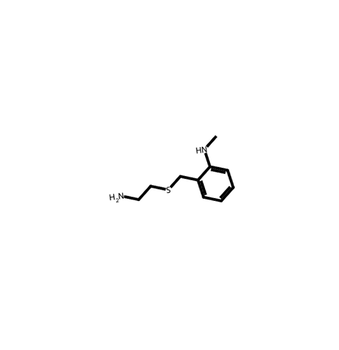 CNc1ccccc1CSCCN